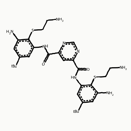 CC(C)(C)c1cc(N)c(SCCN)c(NC(=O)c2cc(C(=O)Nc3cc(C(C)(C)C)cc(N)c3SCCN)ncn2)c1